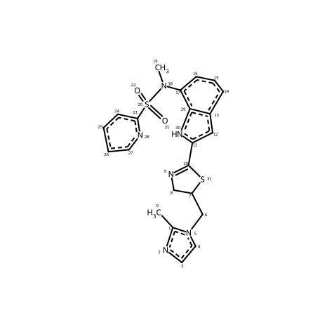 Cc1nccn1CC1CN=C(c2cc3cccc(N(C)S(=O)(=O)c4ccccn4)c3[nH]2)S1